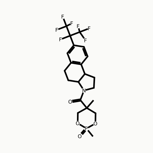 CC1(C(=O)N2CCC3c4ccc(C(F)(C(F)(F)F)C(F)(F)F)cc4CCC32)COP(C)(=O)OC1